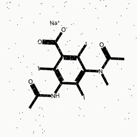 CC(=O)Nc1c(I)c(C(=O)[O-])c(I)c(N(C)C(C)=O)c1I.[Na+]